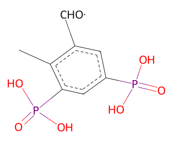 Cc1c([C]=O)cc(P(=O)(O)O)cc1P(=O)(O)O